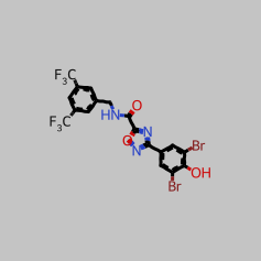 O=C(NCc1cc(C(F)(F)F)cc(C(F)(F)F)c1)c1nc(-c2cc(Br)c(O)c(Br)c2)no1